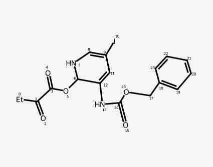 CCC(=O)C(=O)OC1NC=C(I)C=C1NC(=O)OCc1ccccc1